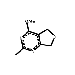 COc1nc(C)nc2c1CNC2